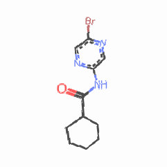 O=C(Nc1cnc(Br)cn1)C1CCCCC1